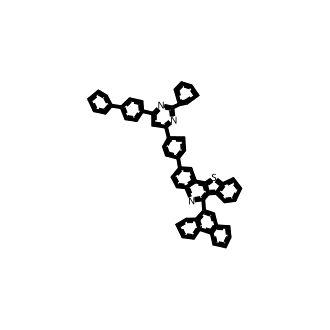 c1ccc(-c2ccc(-c3cc(-c4ccc(-c5ccc6nc(-c7cc8ccccc8c8ccccc78)c7c8ccccc8sc7c6c5)cc4)nc(-c4ccccc4)n3)cc2)cc1